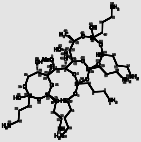 CO[C@@H]1[C@@H]2O[Si](CCCN)(O[SiH](CCCN)O[Si]3(CCCN)O[C@H]1[C@@H](O)CO[Si](O)(CCCN)O3)O[Si]1(CCCN)O[C@@H]2[C@H](O)[C@@H](C)O[Si](O)(CCCN)O[SiH](CCCN)O1